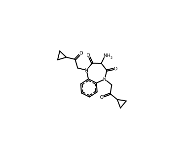 NC1C(=O)N(CC(=O)C2CC2)c2ccccc2N(CC(=O)C2CC2)C1=O